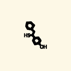 Oc1ccc(C(S)Cc2ccccc2)cc1